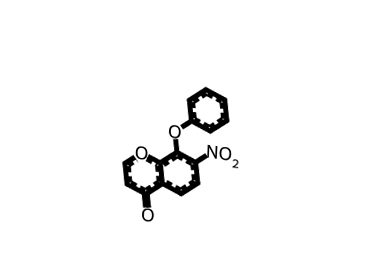 O=c1ccoc2c(Oc3ccccc3)c([N+](=O)[O-])ccc12